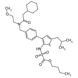 CCCCOC(=O)S(=O)(=O)Nc1sc(CC(C)C)cc1-c1ccc(CN(CCOC)C(=O)CC2CCCCC2)cc1